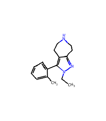 CCn1nc2c(c1-c1ccccc1C)CCNCC2